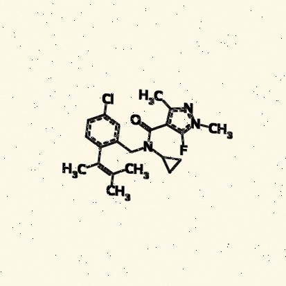 CC(C)=C(C)c1ccc(Cl)cc1CN(C(=O)c1c(C)nn(C)c1F)C1CC1